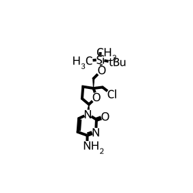 CC(C)(C)[Si](C)(C)OC[C@]1(CCl)CC[C@H](n2ccc(N)nc2=O)O1